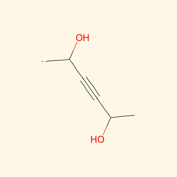 [CH2]C(O)C#CC(C)O